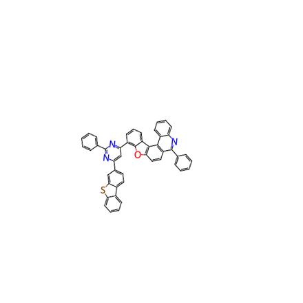 c1ccc(-c2nc(-c3ccc4c(c3)sc3ccccc34)cc(-c3cccc4c3oc3ccc5c(-c6ccccc6)nc6ccccc6c5c34)n2)cc1